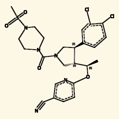 C[C@@H](Oc1ccc(C#N)cn1)[C@@H]1CN(C(=O)N2CCN(S(C)(=O)=O)CC2)C[C@H]1c1ccc(Cl)c(Cl)c1